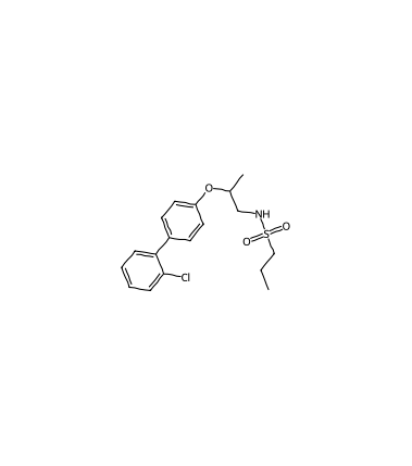 CCCS(=O)(=O)NCC(C)Oc1ccc(-c2ccccc2Cl)cc1